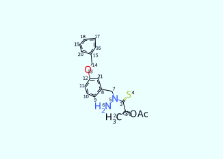 CC(=O)O[C@@H](C)C(=S)N(N)Cc1cccc(OCc2ccccc2)c1